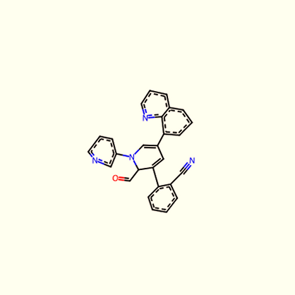 N#Cc1ccccc1C1=CC(c2cccc3cccnc23)=CN(c2cccnc2)C1C=O